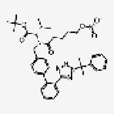 CC(C)[C@@H](C(=O)OC(C)(C)C)N(Cc1ccc(-c2ccccc2-c2nnn(C(C)(C)c3ccccc3)n2)cc1)C(=O)CCCCO[N+](=O)[O-]